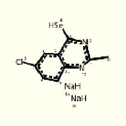 Cc1nc([SeH])c2cc(Cl)ccc2n1.[NaH].[NaH]